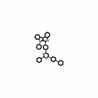 c1ccc(-c2ccc(-c3cc(-c4ccc(-c5nc6ccccc6c6c7ccccc7n(-c7ccccc7)c56)cc4)nc(-c4ccccc4)n3)cc2)cc1